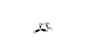 NO.[O]=[V](=[O])[OH]